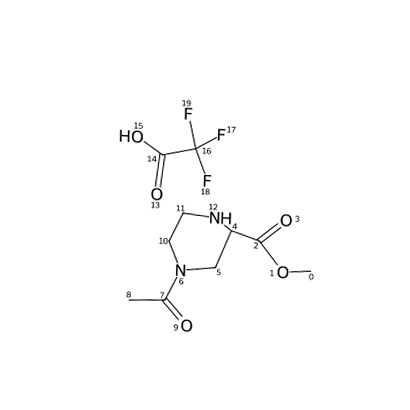 COC(=O)C1CN(C(C)=O)CCN1.O=C(O)C(F)(F)F